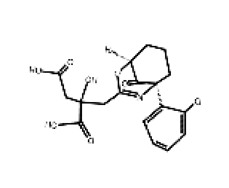 O=C(O)CC(O)(CC1=N[C@]2(c3ccccc3Cl)CCC[C@H](O1)C2=O)C(=O)O